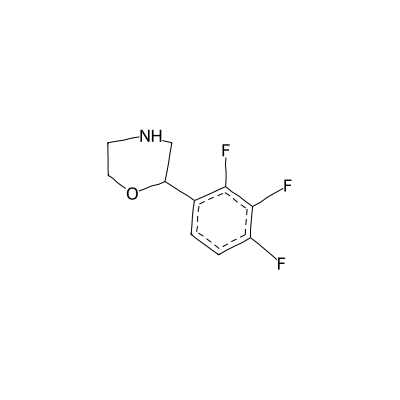 Fc1ccc(C2CNCCO2)c(F)c1F